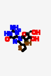 Nc1nc2c(nc(-c3cccs3)n2[C@@H]2O[C@H](CO)[C@@H](O)[C@H]2S)c(=O)[nH]1